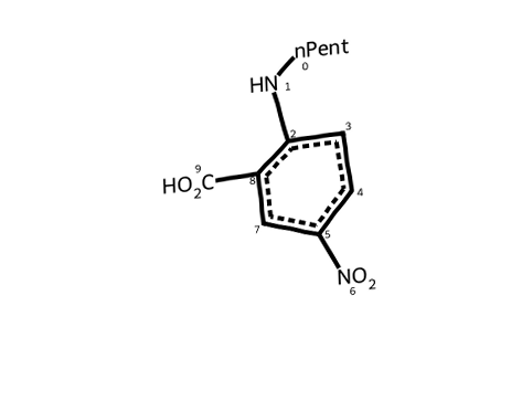 CCCCCNc1ccc([N+](=O)[O-])cc1C(=O)O